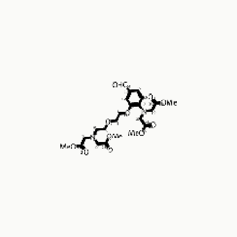 COC(=O)CN(CCOCCOc1cc(C=O)ccc1N(CC(=O)OC)CC(=O)OC)CC(=O)OC